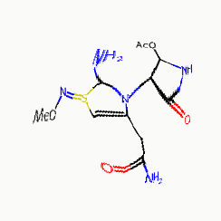 CON=S1C=C(CC(N)=O)N(C2C(=O)NC2OC(C)=O)C1N